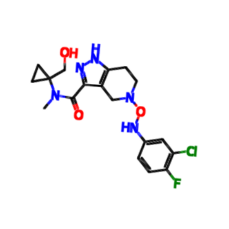 CN(C(=O)c1n[nH]c2c1CN(ONc1ccc(F)c(Cl)c1)CC2)C1(CO)CC1